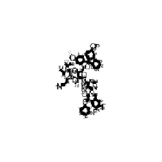 COc1ccc(C(OCC2OC(n3cnc4c(N(Cc5ccc(F)c(F)c5)C(=O)COc5ccccc5)ncnc43)C(OC)C2OP(OCCC#N)N(C(C)C)C(C)C)(c2ccccc2)c2ccc(OC)cc2)cc1